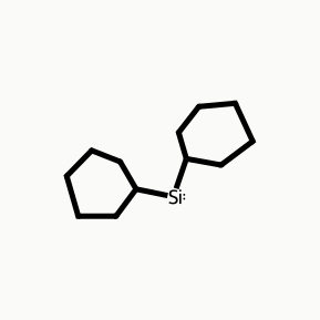 C1CCC([Si]C2CCCCC2)CC1